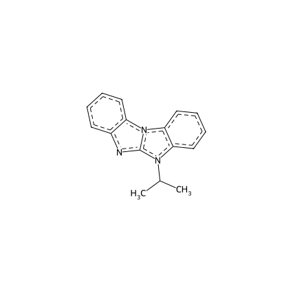 CC(C)n1c2ccccc2n2c3ccccc3nc12